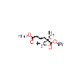 [CH2]C(C)(CCCC(=O)OCCCC)C(=O)OC(C)C